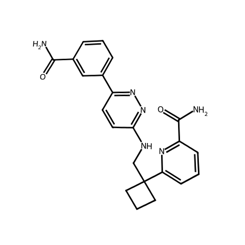 NC(=O)c1cccc(-c2ccc(NCC3(c4cccc(C(N)=O)n4)CCC3)nn2)c1